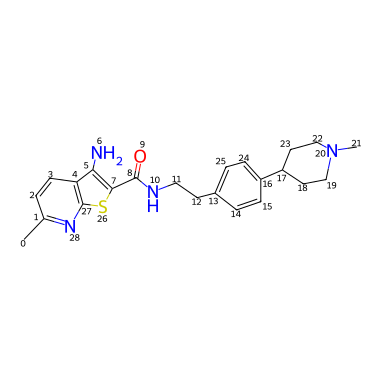 Cc1ccc2c(N)c(C(=O)NCCc3ccc(C4CCN(C)CC4)cc3)sc2n1